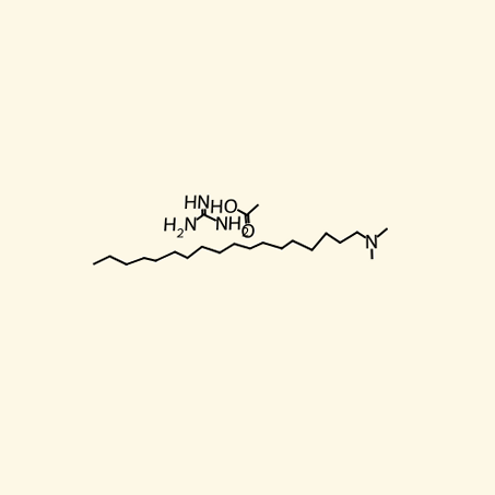 CC(=O)O.CCCCCCCCCCCCCCCCCCN(C)C.N=C(N)N